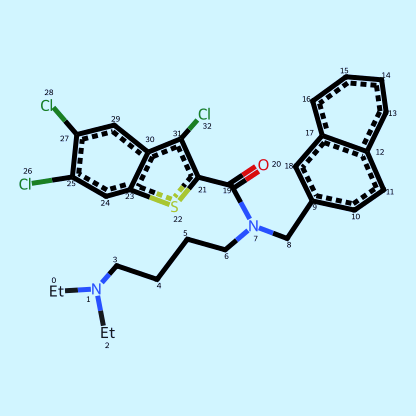 CCN(CC)CCCCN(Cc1ccc2ccccc2c1)C(=O)c1sc2cc(Cl)c(Cl)cc2c1Cl